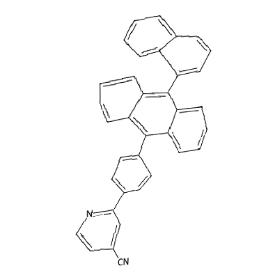 N#Cc1ccnc(-c2ccc(-c3c4ccccc4c(-c4cccc5ccccc45)c4ccccc34)cc2)c1